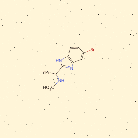 CCCC(NC(=O)O)c1nc2cc(Br)ccc2[nH]1